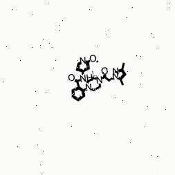 COc1cc(NC(=O)c2ccccc2N2CCN(C(=O)Cn3nc(C)cc3C)[C@@H](C)C2)ccn1